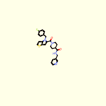 O=C(NCc1cccnc1)C1CCN(C(=O)c2cc3sccc3n2Cc2ccc(F)cc2)CC1